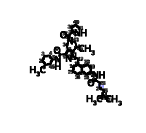 Cc1cccc(NC(=O)c2nn(Cc3cccc4cc(NC(=O)/C=C/CN(C)C)ccc34)c3c2CN(C(=O)c2ccc[nH]2)CC3C)c1